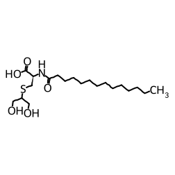 CCCCCCCCCCCCCC(=O)N[C@@H](CSC(CO)CO)C(=O)O